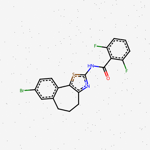 O=C(Nc1nc2c(s1)-c1ccc(Br)cc1CCC2)c1c(F)cccc1F